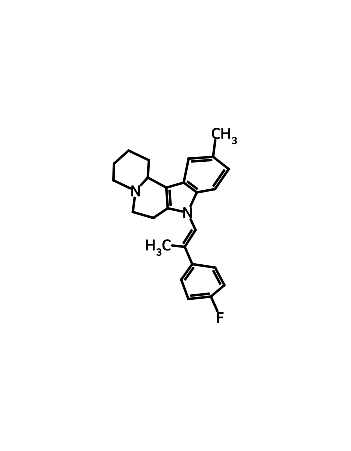 CC(=Cn1c2c(c3cc(C)ccc31)C1CCCCN1CC2)c1ccc(F)cc1